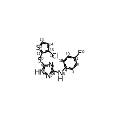 Fc1ccc(Nc2n[nH]c(Sc3sccc3Cl)n2)cc1